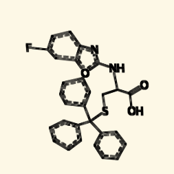 O=C(O)C(CSC(c1ccccc1)(c1ccccc1)c1ccccc1)Nc1nc2ccc(F)cc2o1